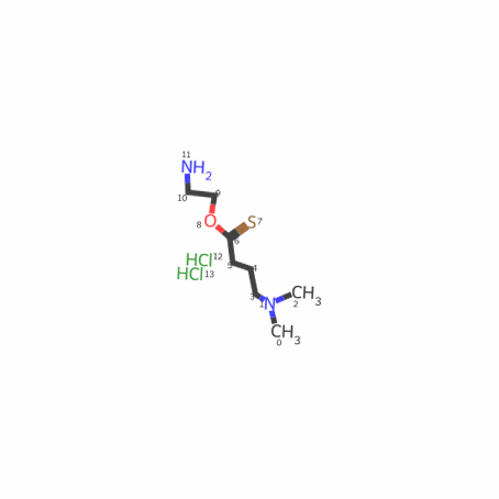 CN(C)CCCC(=S)OCCN.Cl.Cl